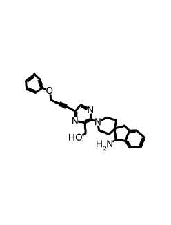 N[C@@H]1c2ccccc2CC12CCN(c1ncc(C#CCOc3ccccc3)nc1CO)CC2